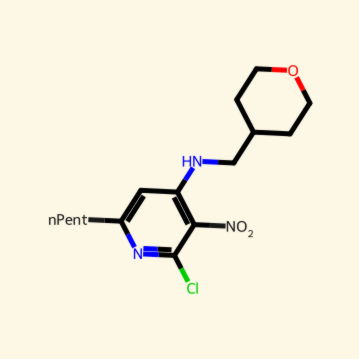 CCCCCc1cc(NCC2CCOCC2)c([N+](=O)[O-])c(Cl)n1